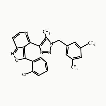 Cc1c(-c2nccc3noc(-c4ccccc4Cl)c23)nnn1Cc1cc(C(F)(F)F)cc(C(F)(F)F)c1